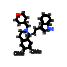 COc1cc2c(cc1OC)[C@@H](CCc1c[nH]c3ccccc13)N(CC1CCOCC1)CC2